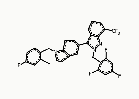 Fc1ccc(Cn2ccc3cc(-c4c5cccc(C(F)(F)F)c5nn4Cc4c(F)cc(F)cc4F)ccc32)c(F)c1